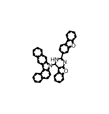 c1ccc2cc3c(cc2c1)c1c2ccccc2ccc1n3C1NC(c2ccc3c(c2)oc2ccccc23)=Nc2oc3ccccc3c21